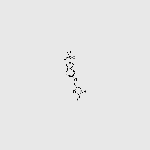 NS(=O)(=O)c1cc2ccc(OCC3CNC(=O)O3)cc2s1